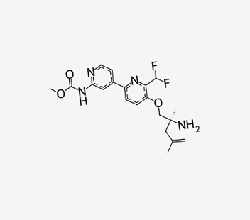 C=C(C)C[C@](C)(N)COc1ccc(-c2ccnc(NC(=O)OC)c2)nc1C(F)F